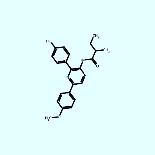 CCC(C)C(=O)Nc1ncc(-c2ccc(OC)cc2)nc1-c1ccc(O)cc1